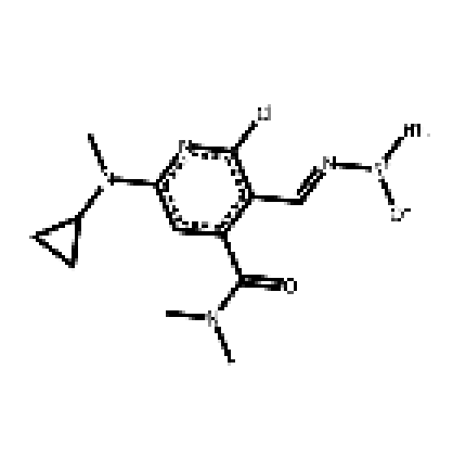 CN(C)C(=O)c1cc(N(C)C2CC2)nc(Cl)c1/C=N/[S+]([O-])C(C)(C)C